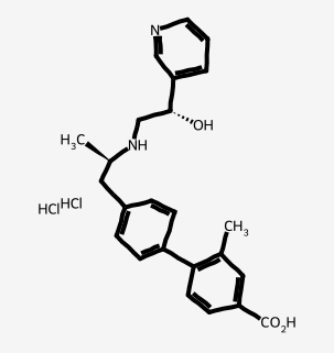 Cc1cc(C(=O)O)ccc1-c1ccc(C[C@@H](C)NC[C@@H](O)c2cccnc2)cc1.Cl.Cl